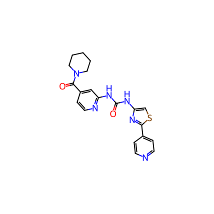 O=C(Nc1cc(C(=O)N2CCCCC2)ccn1)Nc1csc(-c2ccncc2)n1